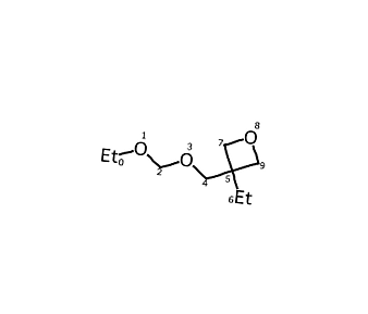 CCOCOCC1(CC)COC1